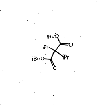 CC(C)COC(=O)C(C(=O)OCC(C)C)(C(C)C)C(C)C